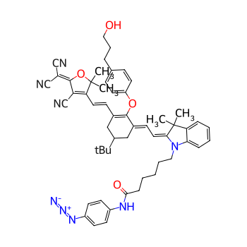 CC1(C)OC(=C(C#N)C#N)C(C#N)=C1/C=C/C1=C(Oc2ccc(CCCO)cc2)C(=C/C=C2/N(CCCCCC(=O)Nc3ccc(N=[N+]=[N-])cc3)c3ccccc3C2(C)C)/CC(C(C)(C)C)C1